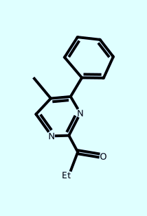 CCC(=O)c1ncc(C)c(-c2ccccc2)n1